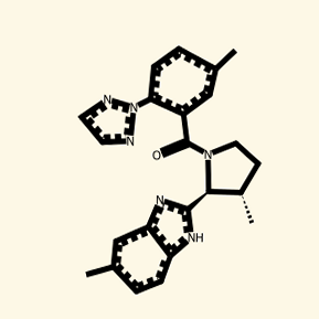 Cc1ccc(-n2nccn2)c(C(=O)N2CC[C@H](C)[C@H]2c2nc3cc(C)ccc3[nH]2)c1